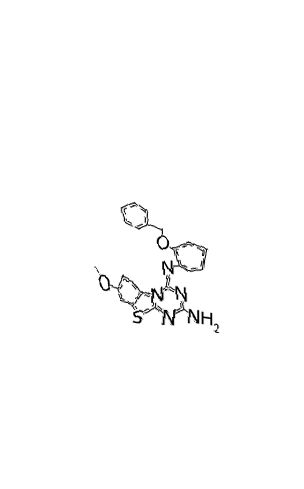 COc1ccc2c(c1)sc1nc(N)n/c(=N\c3ccccc3OCc3ccccc3)n12